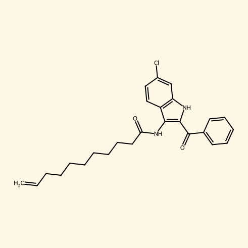 C=CCCCCCCCCC(=O)Nc1c(C(=O)c2ccccc2)[nH]c2cc(Cl)ccc12